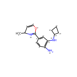 CC1C=COC(c2ccc(N)c(NC3CCC3)c2)=N1